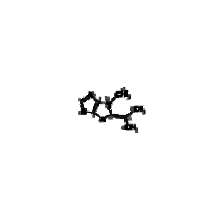 CC(C)=C1Sc2scnc2N1C